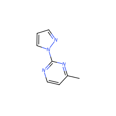 Cc1ccnc(-n2cccn2)n1